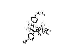 CCc1ccc(C(C)(C)c2[nH]c3cc(C#N)ccc3c2C(=O)OC(C)(C)C)cc1